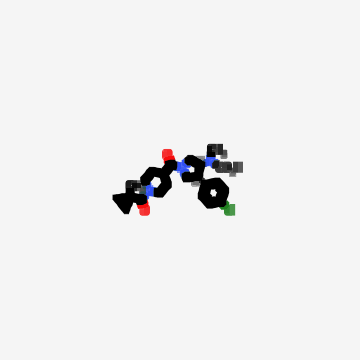 CN(C(=O)O)[C@@H]1CN(C(=O)C2CCN(C(=O)C3(C)CC3)CC2)C[C@H]1c1ccc(Cl)cc1